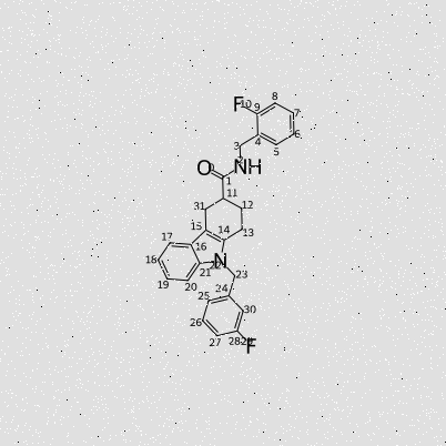 O=C(NCc1ccccc1F)C1CCc2c(c3ccccc3n2Cc2cccc(F)c2)C1